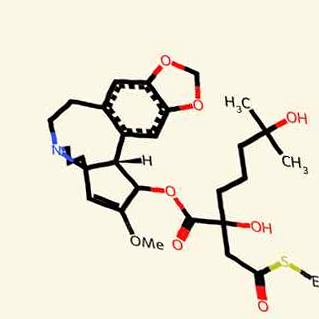 CCSC(=O)CC(O)(CCCC(C)(C)O)C(=O)OC1C(OC)=CC23CCCN2CCc2cc4c(cc2[C@H]13)OCO4